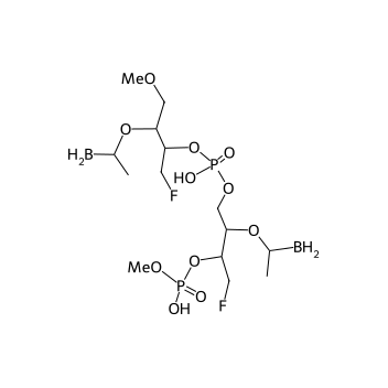 BC(C)OC(COP(=O)(O)OC(CF)C(COC)OC(B)C)C(CF)OP(=O)(O)OC